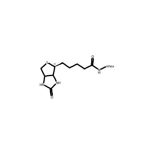 CCCCCCNC(=O)CCCC[C@@H]1SCC2NC(=O)NC21